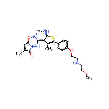 CN/C(NN1C(=O)C=C(C)C1=O)=C1\C(=N)SC(c2ccc(OCCNCCOC)cc2)=C1C